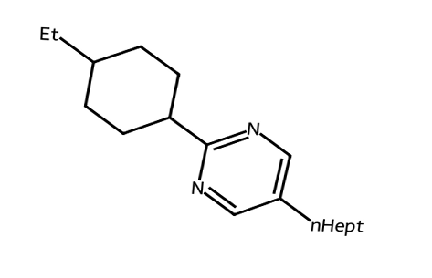 CCCCCCCc1cnc(C2CCC(CC)CC2)nc1